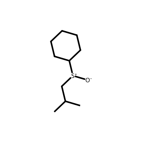 CC(C)C[S+]([O-])C1CCCCC1